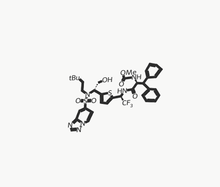 COC(=O)N[C@H](C(=O)N[C@H](c1ccc([C@@H](CO)N(CCC(C)(C)C)S(=O)(=O)c2ccn3ncnc3c2)s1)C(F)(F)F)C(c1ccccc1)c1ccccc1